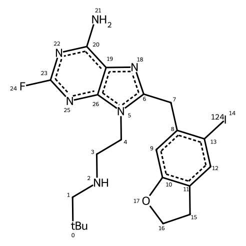 CC(C)(C)CNCCn1c(Cc2cc3c(cc2[124I])CCO3)nc2c(N)nc(F)nc21